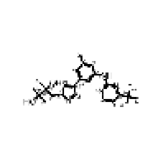 Cc1cc(Nc2nccc(C(C)(F)F)n2)cc(-c2cnn(C[C@@](C)(O)C(C)(C)O)c2)c1